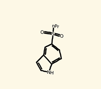 CCCS(=O)(=O)c1ccc2[nH]ccc2c1